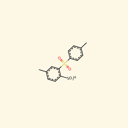 Cc1ccc(S(=O)(=O)c2cc(C)ccc2S(=O)(=O)O)cc1